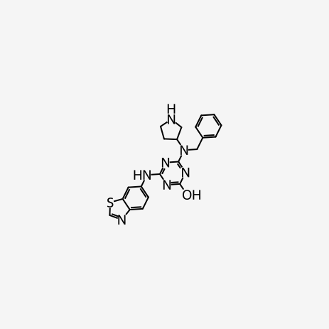 Oc1nc(Nc2ccc3ncsc3c2)nc(N(Cc2ccccc2)C2CCNC2)n1